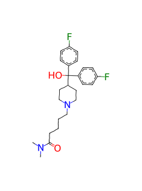 CN(C)C(=O)CCCCN1CCC(C(O)(c2ccc(F)cc2)c2ccc(F)cc2)CC1